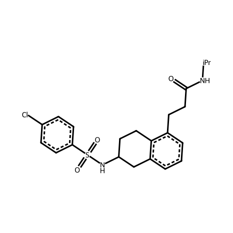 CC(C)NC(=O)CCc1cccc2c1CCC(NS(=O)(=O)c1ccc(Cl)cc1)C2